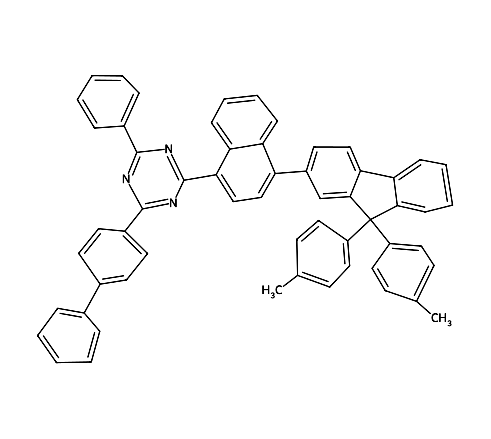 Cc1ccc(C2(c3ccc(C)cc3)c3ccccc3-c3ccc(-c4ccc(-c5nc(-c6ccccc6)nc(-c6ccc(-c7ccccc7)cc6)n5)c5ccccc45)cc32)cc1